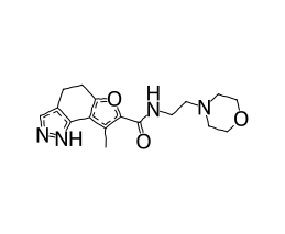 Cc1c(C(=O)NCCN2CCOCC2)oc2c1-c1[nH]ncc1CC2